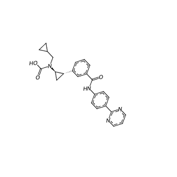 O=C(Nc1ccc(-c2ncccn2)cc1)c1cccc([C@@H]2C[C@H]2N(CC2CC2)C(=O)O)c1